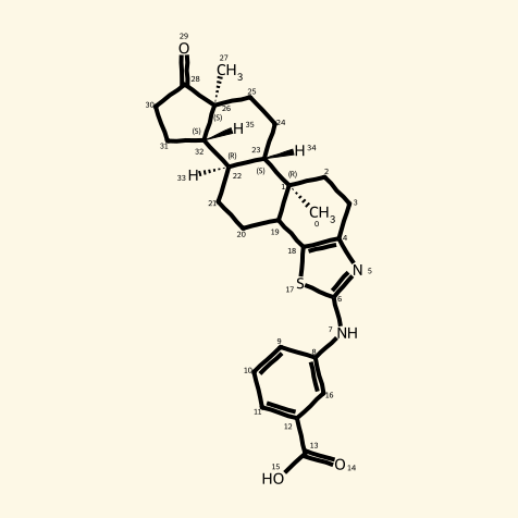 C[C@]12CCc3nc(Nc4cccc(C(=O)O)c4)sc3C1CC[C@@H]1[C@@H]2CC[C@]2(C)C(=O)CC[C@@H]12